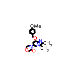 COc1ccc(COc2cc(N3CCOCC3=O)cn3c(C)c(C)nc23)cc1